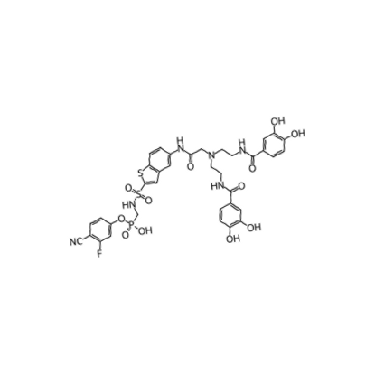 N#Cc1ccc(OP(=O)(O)CNS(=O)(=O)c2cc3cc(NC(=O)CN(CCNC(=O)c4ccc(O)c(O)c4)CCNC(=O)c4ccc(O)c(O)c4)ccc3s2)cc1F